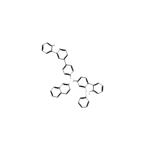 c1ccc(-n2c3ccccc3c3ccc(N(c4ccc(-c5ccc6sc7ccccc7c6c5)cc4)c4ccc5ccccc5c4)cc32)cc1